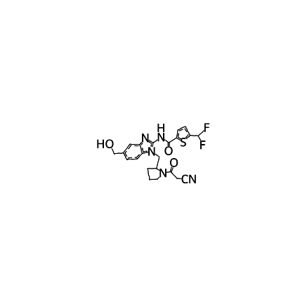 N#CCC(=O)N1CCCC1Cn1c(NC(=O)c2ccc(C(F)F)s2)nc2cc(CO)ccc21